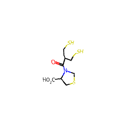 O=C(O)C1CSCN1C(=O)C(CS)CS